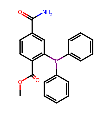 COC(=O)c1ccc(C(N)=O)cc1P(c1ccccc1)c1ccccc1